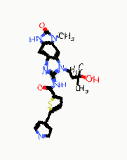 Cn1c(=O)[nH]c2cc3nc(NC(=O)c4ccc(-c5ccncc5)s4)n(CCC(C)(C)O)c3cc21